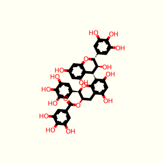 O=C(O[C@@H]1Cc2c(O)cc(O)c([C@@H]3c4c(O)cc(O)cc4O[C@H](c4cc(O)c(O)c(O)c4)[C@H]3O)c2O[C@@H]1c1cc(O)c(O)c(O)c1)c1cc(O)c(O)c(O)c1